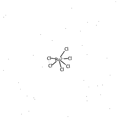 [Cl][Ru-2]([Cl])([Cl])([Cl])([Cl])[Cl]